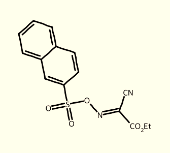 CCOC(=O)C(C#N)=NOS(=O)(=O)c1ccc2ccccc2c1